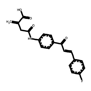 C=C(CC(=O)Nc1ccc(C(=O)C=Cc2ccc(F)cc2)cc1)C(=O)O